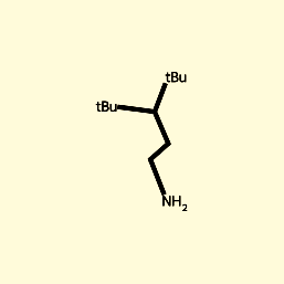 CC(C)(C)C(CCN)C(C)(C)C